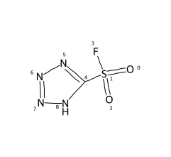 O=S(=O)(F)c1nnn[nH]1